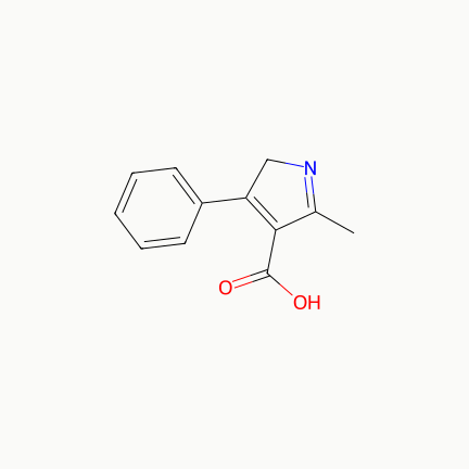 CC1=NCC(c2ccccc2)=C1C(=O)O